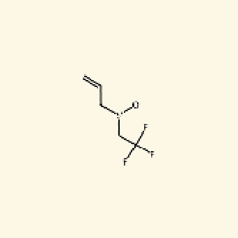 C=CC[S+]([O-])CC(F)(F)F